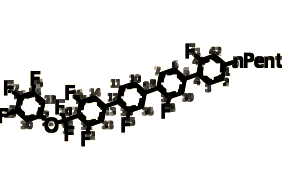 CCCCCc1ccc(-c2ccc(-c3ccc(-c4cc(F)c(C(F)(F)Oc5cc(F)c(F)c(F)c5)c(F)c4)c(F)c3)c(F)c2)c(F)c1